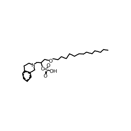 CCCCCCCCCCCCCCOCC(CN1CCc2ccccc2C1)OS(=O)(=O)O